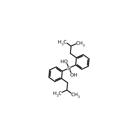 CC(C)Cc1ccccc1[Si](O)(O)c1ccccc1CC(C)C